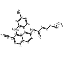 CNCC=CC(=O)Nc1ccc2ncc(C#N)c(Nc3cccc(Br)c3)c2c1